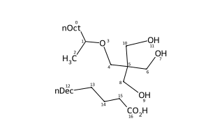 CCCCCCCCC(C)OCC(CO)(CO)CO.CCCCCCCCCCCCCC(=O)O